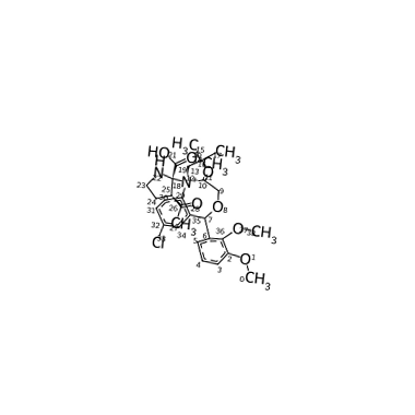 COc1cccc(C2OCC(=O)[N@@+](CC(C)(C)C)([C@@]3(C(=O)O)NCC[C@@H]3C(C)=O)c3ccc(Cl)cc32)c1OC